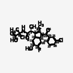 Cc1c([C@@H](C)C(=O)NC(C)(C)C(=O)O)c2cc(O)c(F)cc2n1C(=O)c1cccc(Cl)c1